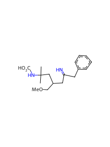 COCC(CC(=N)Cc1ccccc1)CC(C)(C)NC(=O)O